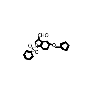 O=CC1CN(S(=O)(=O)c2ccccc2)c2ccc(OCc3ccccc3)cc21